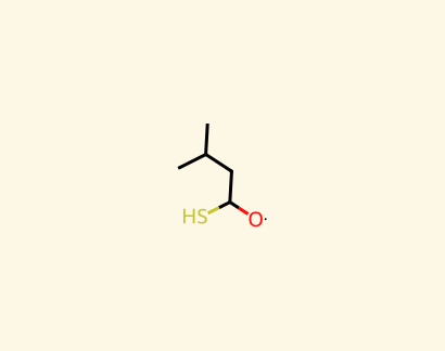 CC(C)CC([O])S